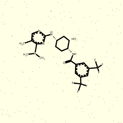 Cc1cnc(N[C@H]2CC[C@@H](NC(=O)c3cc(C(F)(F)F)cc(C(F)(F)F)c3)CC2)nc1N(C)C.Cl